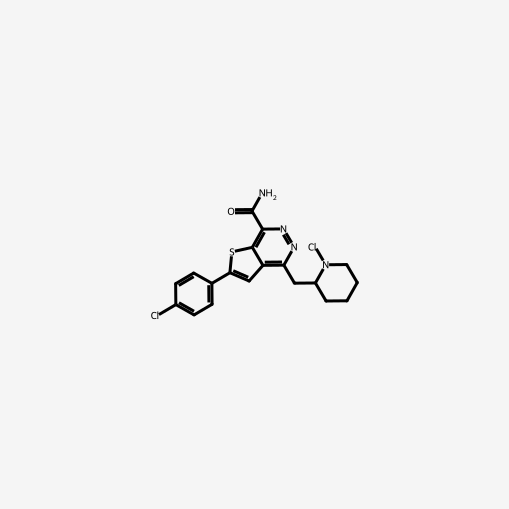 NC(=O)c1nnc(CC2CCCCN2Cl)c2cc(-c3ccc(Cl)cc3)sc12